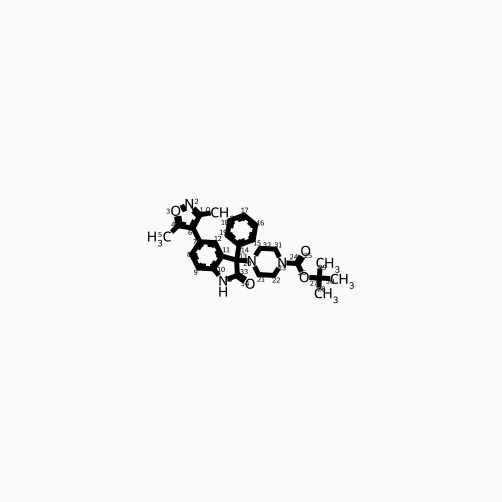 Cc1noc(C)c1-c1ccc2c(c1)C(c1ccccc1)(N1CCN(C(=O)OC(C)(C)C)CC1)C(=O)N2